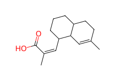 CC1=CC2C(C=C(C)C(=O)O)CCCC2CC1